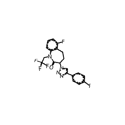 O=C1C(n2cc(-c3ccc(I)cc3)nn2)CCc2c(F)cccc2N1CC(F)(F)F